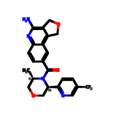 C[C@H]1COC[C@H](c2ccc(C(F)(F)F)cn2)N1C(=O)c1ccc2nc(N)c3c(c2c1)COC3